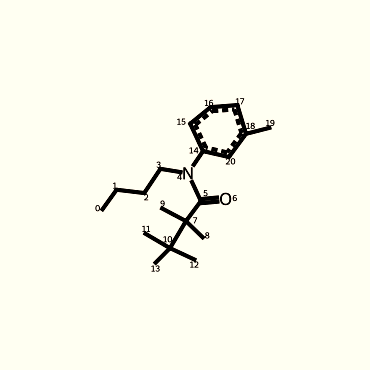 CCCCN(C(=O)C(C)(C)C(C)(C)C)c1cccc(C)c1